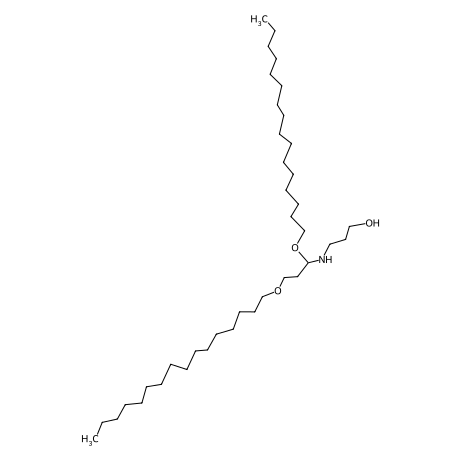 CCCCCCCCCCCCCCCCOCCC(NCCCO)OCCCCCCCCCCCCCCCC